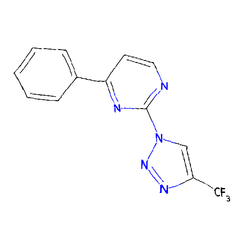 FC(F)(F)c1cn(-c2nccc(-c3ccccc3)n2)nn1